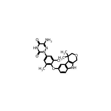 Cc1cc(-n2nc(N)c(=O)[nH]c2=O)cc(Cl)c1Oc1ccc2[nH]c3c(c2c1)C(C)(C)COC3